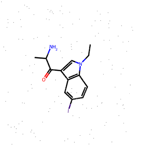 CCn1cc(C(=O)C(C)N)c2cc(I)ccc21